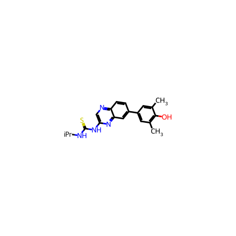 Cc1cc(-c2ccc3ncc(NC(=S)NC(C)C)nc3c2)cc(C)c1O